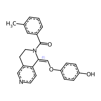 Cc1cccc(C(=O)N2CCc3cnccc3/C2=C\Oc2ccc(O)cc2)c1